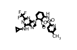 Cc1ccc(S(=O)(=O)NC2=CC=CC(n3cnc4c(NC5CC5)nc(C(F)(F)F)nc43)C2=C=O)nc1